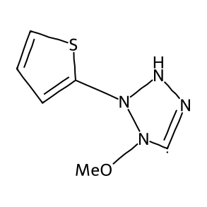 CON1[C]=NNN1c1cccs1